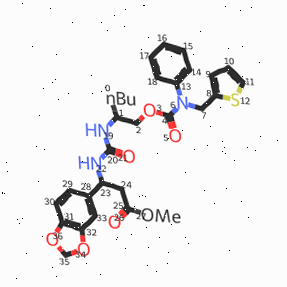 CCCCC(COC(=O)N(Cc1cccs1)c1ccccc1)NC(=O)NC(CC(=O)OC)c1ccc2c(c1)OCO2